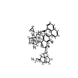 C#Cc1cccc2cccc(-c3nc4c5c(nc(OCC67CCCN6CC(=C)C7)nc5c3F)N3C[C@H]5CC[C@H](N5)[C@H]3[C@H](C3CC3)O4)c12